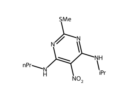 CCCNc1nc(SC)nc(NC(C)C)c1[N+](=O)[O-]